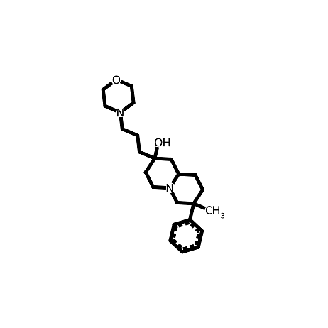 CC1(c2ccccc2)CCC2CC(O)(CCCN3CCOCC3)CCN2C1